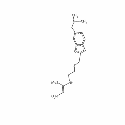 CS/C(=C\[N+](=O)[O-])NCCSCc1cc2ccc(CN(C)C)cc2o1